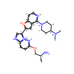 C[C@H](N)COc1ccc2ncc(-c3cc4c(N5CCC(N(C)C)CC5)nccc4o3)n2n1